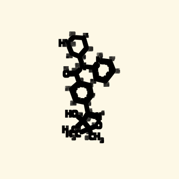 CC1(C)ON=C(c2ccc(C(=O)N(c3ccccn3)C3CCCNC3)cc2)C1(C)O